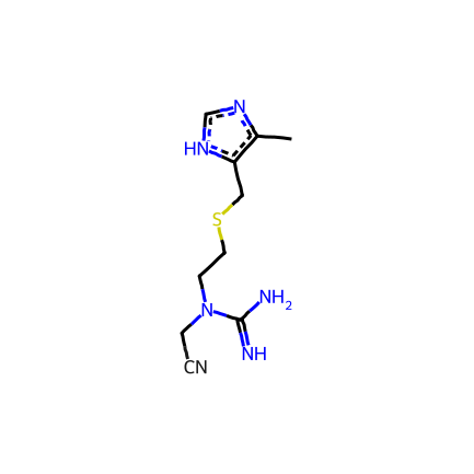 Cc1nc[nH]c1CSCCN(CC#N)C(=N)N